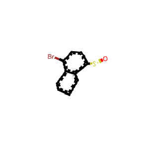 O=[S+]c1ccc(Br)c2ccccc12